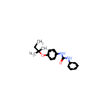 CCC(C)(C)Oc1ccc(NC(=O)Nc2ccccc2)cc1